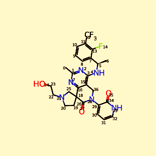 Cc1nc(N[C@H](C)c2cccc(C(F)(F)F)c2F)c2c(n1)C1(CCN(CCO)C1)C(=O)N(c1ccc[nH]c1=O)C2